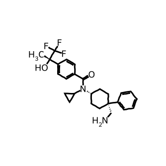 C[C@](O)(c1ccc(C(=O)N(C2CC2)[C@H]2CC[C@](CN)(c3ccccc3)CC2)cc1)C(F)(F)F